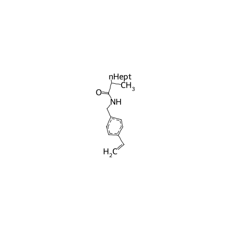 C=Cc1ccc(CNC(=O)C(C)CCCCCCC)cc1